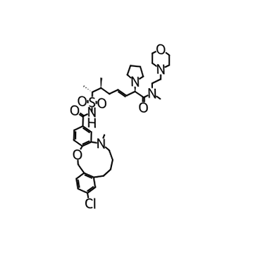 C[C@H]([C@@H](C)C/C=C/[C@H](C(=O)N(C)CCN1CCOCC1)N1CCCC1)S(=O)(=O)NC(=O)c1ccc2c(c1)N(C)CCCCc1cc(Cl)ccc1CO2